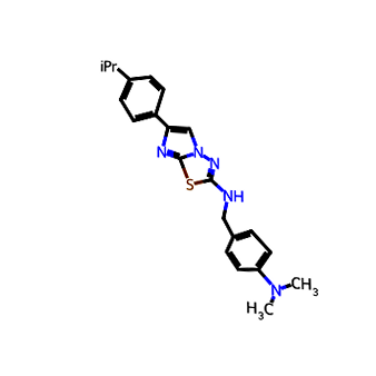 CC(C)c1ccc(-c2cn3nc(NCc4ccc(N(C)C)cc4)sc3n2)cc1